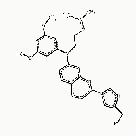 COc1cc(OC)cc(N(CCO[SiH](C)C)c2ccc3ncc(-n4cnc(CO)c4)nc3c2)c1